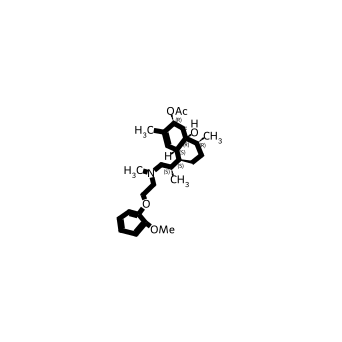 COc1ccccc1OCCN(C)C[C@@H](C)[C@@H]1CC[C@@H](C)[C@]2(O)[C][C@@H](OC(C)=O)C(C)=C[C@H]12